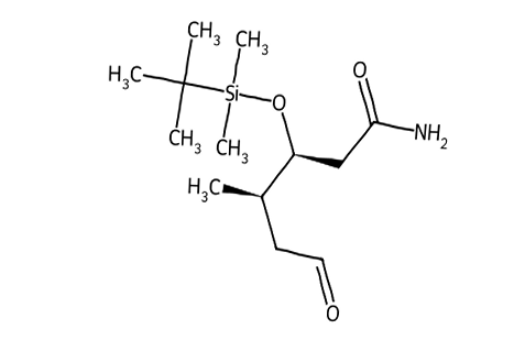 C[C@H](CC=O)[C@H](CC(N)=O)O[Si](C)(C)C(C)(C)C